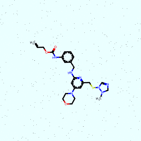 C=CCOC(=O)Nc1cccc(CNc2cc(N3CCOCC3)cc(CSN3C=NCN3C)n2)c1